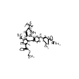 CCOC(=O)c1cc(-c2cnc(Nc3cc(C)cc(OC)c3)nc2N2NC(C(F)(F)F)C=C2C)cn(CC)c1=O